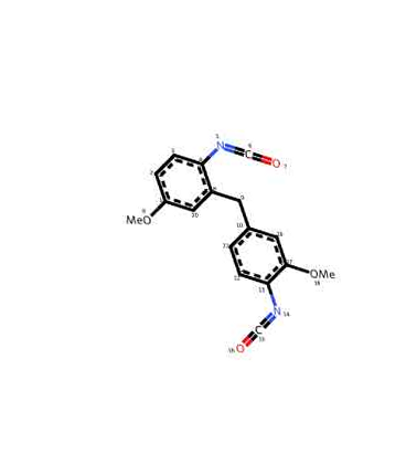 COc1ccc(N=C=O)c(Cc2ccc(N=C=O)c(OC)c2)c1